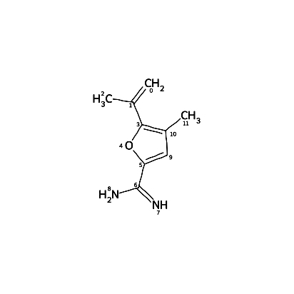 C=C(C)c1oc(C(=N)N)cc1C